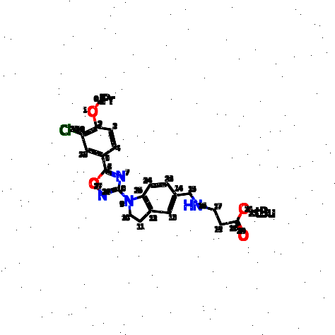 CC(C)Oc1ccc(-c2nc(N3CCc4cc(CNCCC(=O)OC(C)(C)C)ccc43)no2)cc1Cl